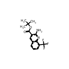 CC(C)(C)OC(=O)c1cc2cccc(C(F)(F)F)c2nc1N